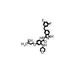 CN(C)CCOc1ccc(C(=O)Nc2n[nH]c3ccc(Cc4cc(F)cc(F)c4)cc23)c(NC2CCOCC2)c1